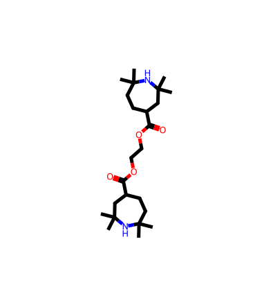 CC1(C)CCC(C(=O)OCCOC(=O)C2CCC(C)(C)NC(C)(C)C2)CC(C)(C)N1